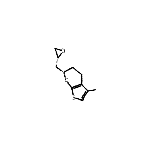 Cc1csc2c1CCN(C[C@@H]1CO1)C2